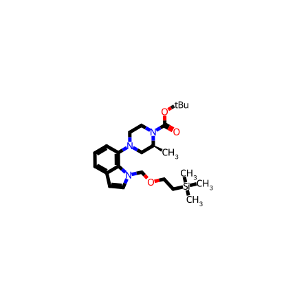 C[C@H]1CN(c2cccc3ccn(COCC[Si](C)(C)C)c23)CCN1C(=O)OC(C)(C)C